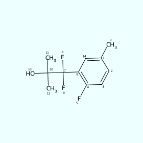 Cc1ccc(F)c(C(F)(F)C(C)(C)O)c1